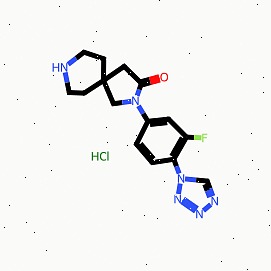 Cl.O=C1CC2(CCNCC2)CN1c1ccc(-n2cnnn2)c(F)c1